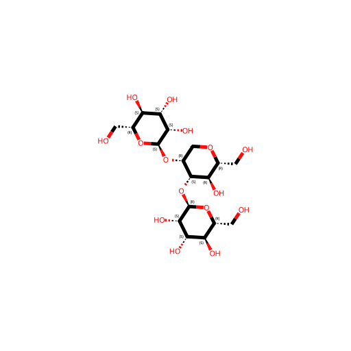 OC[C@H]1O[C@H](O[C@H]2[C@H](O)[C@@H](CO)O[CH][C@H]2O[C@H]2O[C@H](CO)[C@@H](O)[C@H](O)[C@@H]2O)[C@@H](O)[C@@H](O)[C@@H]1O